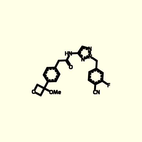 COC1(c2ccc(CC(=O)Nc3cnn(Cc4ccc(C#N)c(F)c4)n3)cc2)COC1